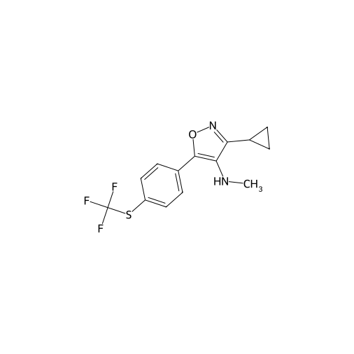 CNc1c(C2CC2)noc1-c1ccc(SC(F)(F)F)cc1